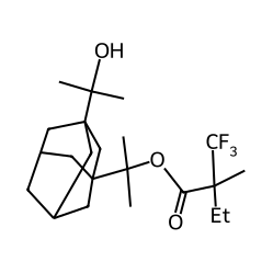 CCC(C)(C(=O)OC(C)(C)C12CC3CC(CC(C(C)(C)O)(C3)C1)C2)C(F)(F)F